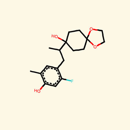 Cc1cc(CC(C)C2(O)CCC3(CC2)OCCO3)c(F)cc1O